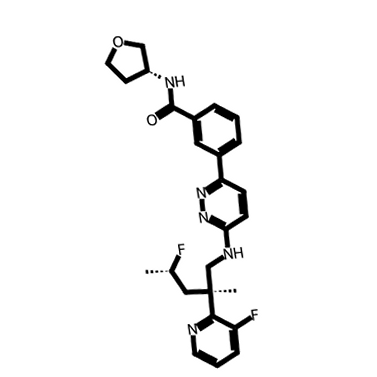 C[C@H](F)C[C@@](C)(CNc1ccc(-c2cccc(C(=O)N[C@@H]3CCOC3)c2)nn1)c1ncccc1F